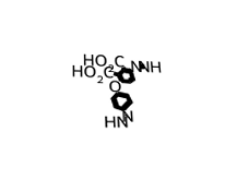 N=Nc1ccc(Oc2ccc(N=N)c(C(=O)O)c2C(=O)O)cc1